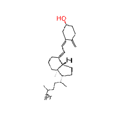 C=C1CC[C@H](O)C/C1=C/C=C1\CCC[C@]2(C)[C@@H](C(C)CCC(C)C(C)C)CC[C@@H]12